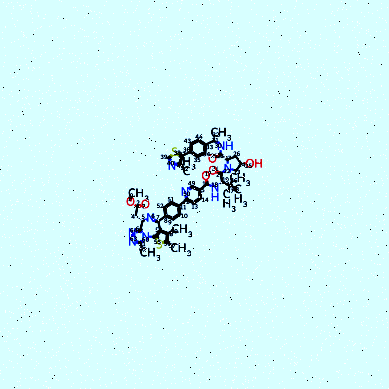 COC(=O)C[C@@H]1N=C(c2ccc(-c3ccc(C(=O)N[C@H](C(=O)N4C[C@H](O)C[C@H]4C(=O)N[C@@H](C)c4ccc(-c5scnc5C)cc4)C(C)(C)C)cn3)cc2)c2c(sc(C)c2C)-n2c(C)nnc21